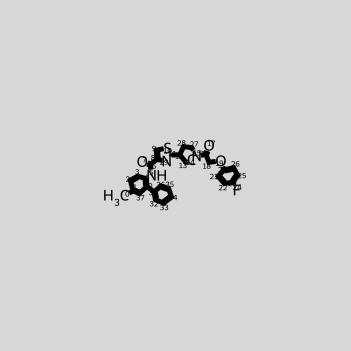 Cc1ccc(NC(=O)c2csc(C3CCN(C(=O)COc4ccc(F)cc4)CC3)n2)c(-c2ccccc2)c1